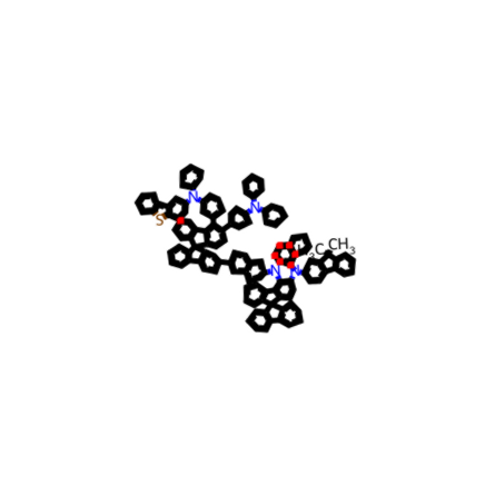 CC1(C)c2ccccc2-c2ccc(N(c3ccccc3)c3ccc4c(c3N(c3ccc5ccccc5c3)c3ccc5cc(-c6ccc7c(c6)C6(c8ccccc8-7)c7ccccc7-c7c6ccc(-c6ccc(N(c8ccccc8)c8ccccc8)cc6)c7-c6cccc(N(c7ccccc7)c7ccc8sc9ccccc9c8c7)c6)ccc5c3)-c3ccccc3C43c4ccccc4-c4ccccc43)cc21